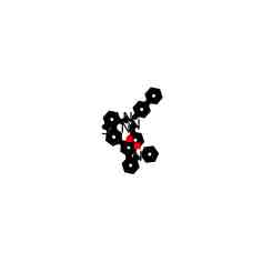 c1ccc(-c2ccc(-c3nc(-c4ccccc4)nc(-c4cccc5sc6ccc(-c7ccc8c(c7)c7ccccc7n8-c7ccccc7)cc6c45)n3)cc2)cc1